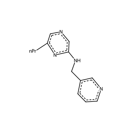 CCCc1cncc(NCc2cccnc2)n1